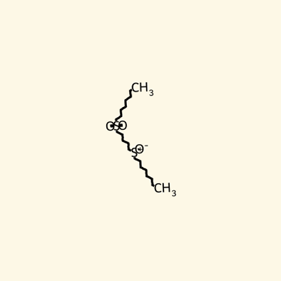 CCCCCCCC[S+]([O-])CCCCCS(=O)(=O)CCCCCCCC